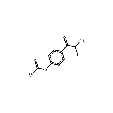 CC(Br)C(=O)c1ccc(OC(N)=O)cc1